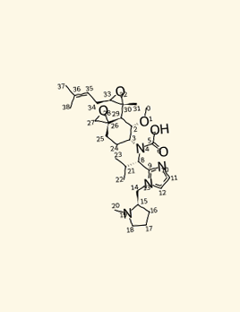 CO[C@@H]1[C@H](N(C(=O)O)[C@H](c2nccn2C[C@H]2CCCN2C)C(C)C)CC[C@]2(CO2)[C@H]1[C@@]1(C)O[C@@H]1CC=C(C)C